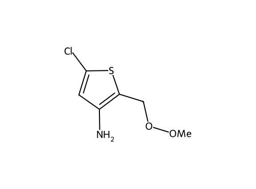 COOCc1sc(Cl)cc1N